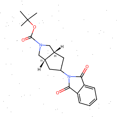 CC(C)(C)OC(=O)N1C[C@H]2CC(N3C(=O)c4ccccc4C3=O)C[C@H]2C1